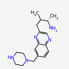 CC(Cc1cnc2ccc(CN3CCNCC3)cc2n1)[C@H](C)N